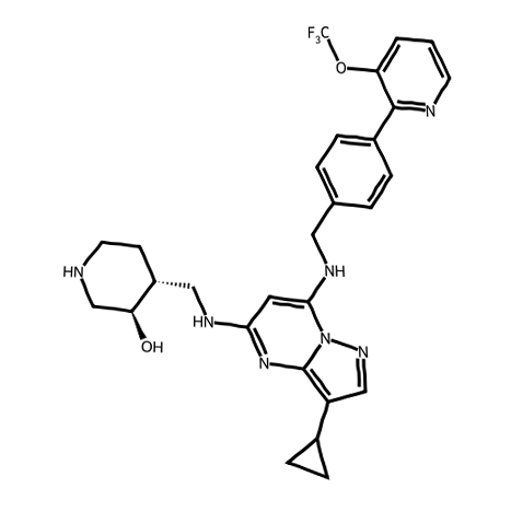 O[C@H]1CNCC[C@@H]1CNc1cc(NCc2ccc(-c3ncccc3OC(F)(F)F)cc2)n2ncc(C3CC3)c2n1